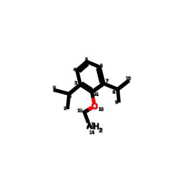 CC(C)c1cccc(C(C)C)c1O[CH2][AlH2]